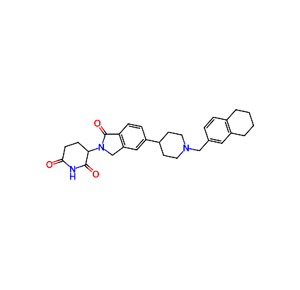 O=C1CCC(N2Cc3cc(C4CCN(Cc5ccc6c(c5)CCCC6)CC4)ccc3C2=O)C(=O)N1